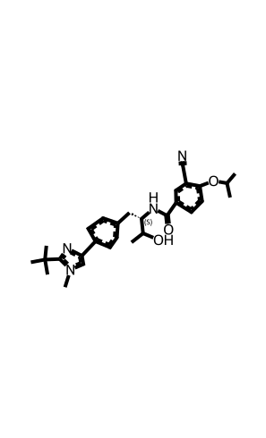 CC(C)Oc1ccc(C(=O)N[C@@H](Cc2ccc(-c3cn(C)c(C(C)(C)C)n3)cc2)C(C)O)cc1C#N